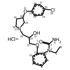 CCN(C(N)=O)c1ccccc1OCC(O)CN1CCC(Oc2ccc(Cl)cc2)C1.Cl